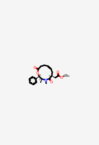 C[C@H]1[C@@H](c2ccccc2)OC(=O)CCC=CC[C@@H](CC(=O)OC(C)(C)C)C(=O)N1C